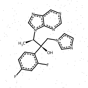 C[C@@H](n1cnc2cncnc21)[C@](O)(Cn1ccnc1)c1ccc(F)cc1F